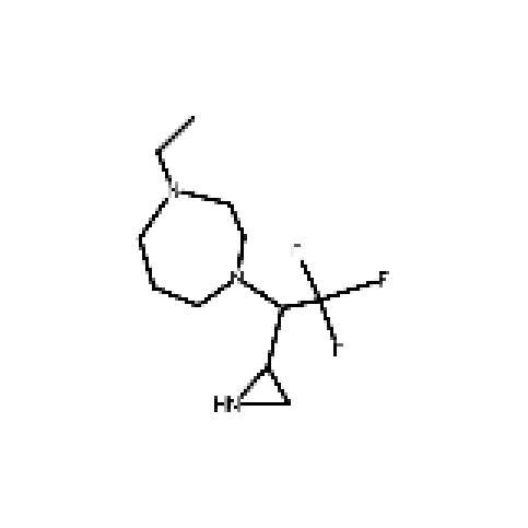 CCN1CCCN(C(C2CN2)C(F)(F)F)CC1